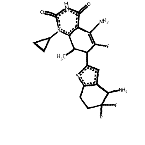 CC1c2c(c(=O)[nH]c(=O)n2C2CC2)C(N)=C(F)C1c1cc2c(s1)CCC(F)(F)C2N